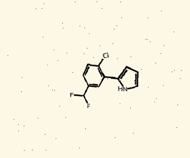 FC(F)c1ccc(Cl)c(-c2ccc[nH]2)c1